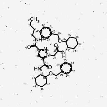 CCCCNC(=O)c1cc(C(=O)N[C@H]2CCCC[C@@H]2OCc2ccccc2)n(CC(=O)N[C@H]2CCCC[C@@H]2OCc2ccccc2)n1